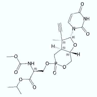 C#C[C@]1(C)[C@@H]2CP(=O)(OC[C@H](NC(=O)OC)C(=O)OC(C)C)OC[C@H]2O[C@H]1n1ccc(=O)[nH]c1=O